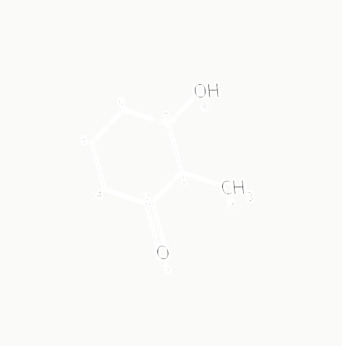 CC1C(=O)CCCC1O